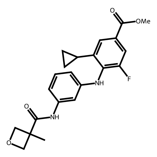 COC(=O)c1cc(F)c(Nc2cccc(NC(=O)C3(C)COC3)c2)c(C2CC2)c1